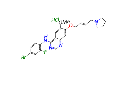 COc1cc2c(Nc3ccc(Br)cc3F)ncnc2cc1OCC=CCN1CCCC1.Cl